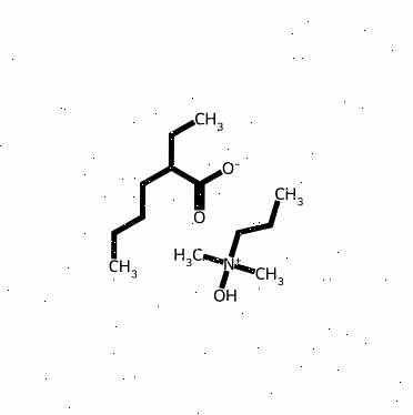 CCCCC(CC)C(=O)[O-].CCC[N+](C)(C)O